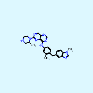 Cc1cc(Nc2ncnc3cnc(N4CCNC[C@@H]4C)nc23)ccc1Cc1ccc2c(c1)ncn2C